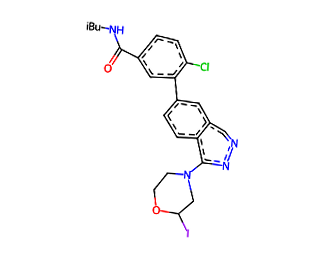 CCC(C)NC(=O)c1ccc(Cl)c(-c2ccc3c(N4CCOC(I)C4)nncc3c2)c1